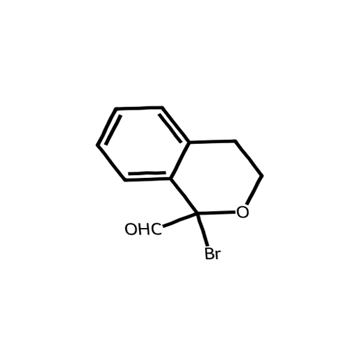 O=CC1(Br)OCCc2ccccc21